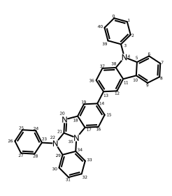 c1ccc(-n2c3ccccc3c3cc(-c4ccc5c(c4)nc4n(-c6ccccc6)c6ccccc6n54)ccc32)cc1